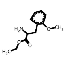 CCOC(=O)C(N)Cc1ccccc1OC